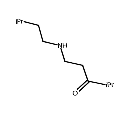 CC(C)CCNCCC(=O)C(C)C